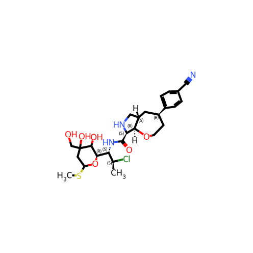 CSC1CC(O)(CO)C(O)[C@@H]([C@H](NC(=O)[C@H]2NC[C@@H]3C[C@@H](c4ccc(C#N)cc4)CCO[C@H]32)[C@H](C)Cl)O1